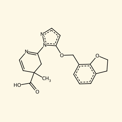 CC1(C(=O)O)C=CN=C(n2nccc2OCc2cccc3c2OCC3)C1